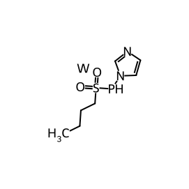 CCCCS(=O)(=O)Pn1ccnc1.[W]